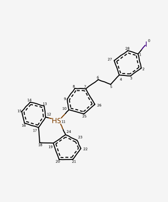 Ic1ccc(CCc2ccc([SH]3c4ccccc4Cc4ccccc43)cc2)cc1